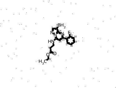 Bc1cnn2c(NCCC(=O)OCC)cc(-c3ccccc3F)nc12